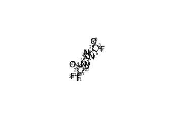 COc1cc(F)cc(-c2ncc(Cn3ncc4cc(C(F)F)cc(C=O)c43)cn2)c1